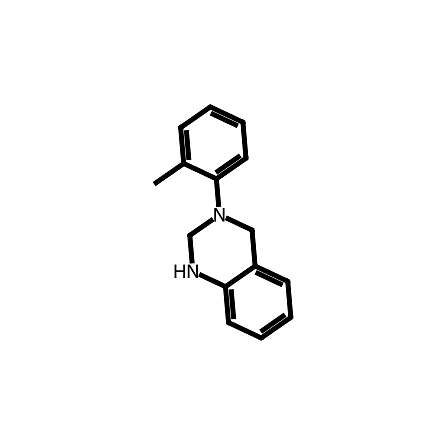 Cc1ccccc1N1CNc2ccccc2C1